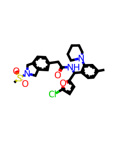 Cc1ccc(C(NC(=O)Cc2ccc3c(c2)CN(S(C)(=O)=O)C3)c2ccc(Cl)o2)c(N2CCCCC2)c1